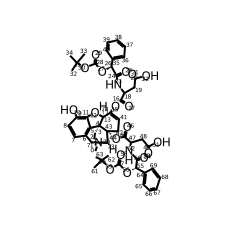 CN1CC[C@]23c4c5ccc(O)c4O[C@H]2C(OC(=O)C(CC(=O)O)NC(=O)[C@@H](OC(=O)OC(C)(C)C)c2ccccc2)=CC[C@@]3(OC(=O)C(CC(=O)O)NC(=O)[C@@H](OC(=O)OC(C)(C)C)c2ccccc2)[C@H]1C5